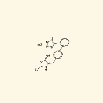 CCC1NN(Cc2ccc(-c3ccccc3-c3nnn[nH]3)cc2)C(=N)S1.Cl